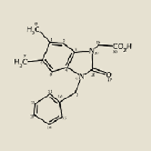 Cc1cc2c(cc1C)n(Cc1ccccc1)c(=O)n2CC(=O)O